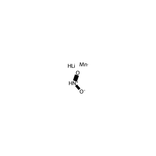 O=[NH+][O-].[LiH].[Mn]